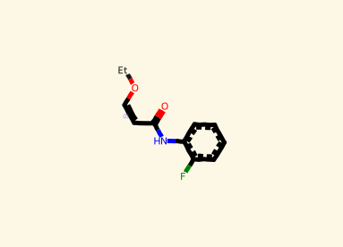 CCO/C=C\C(=O)Nc1ccccc1F